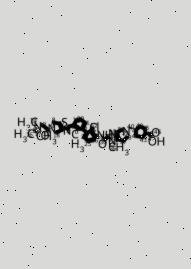 Cc1c(-c2nc3c(s2)CN(C(=O)CN(C)C(C)C)C3)cccc1-c1cccc(NC(=O)c2nc3c(n2C)CCN(C[C@H]2CC[C@H](C(=O)O)CC2)C3)c1Cl